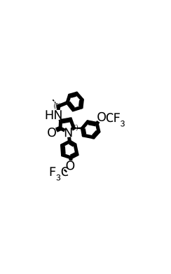 C[C@@H](NC1=C[C@@H](c2cccc(OC(F)(F)F)c2)N(c2ccc(OC(F)(F)F)cc2)C1=O)c1ccccc1